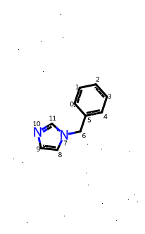 [c]1ccccc1Cn1ccnc1